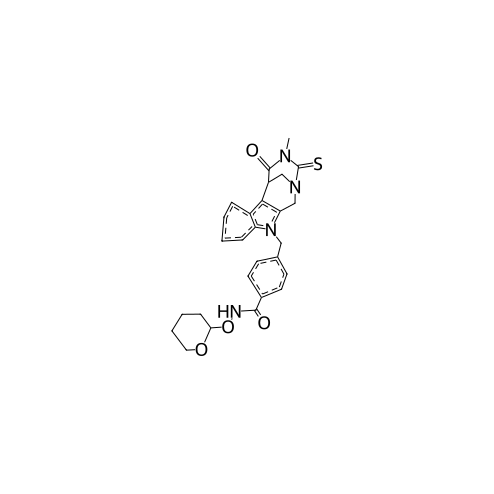 CN1C(=O)C2CN(Cc3c2c2ccccc2n3Cc2ccc(C(=O)NOC3CCCCO3)cc2)C1=S